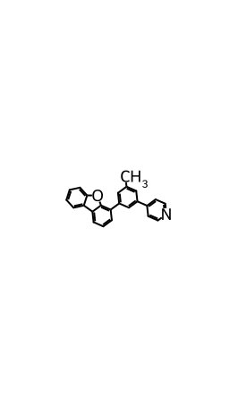 Cc1cc(-c2ccncc2)cc(-c2cccc3c2oc2ccccc23)c1